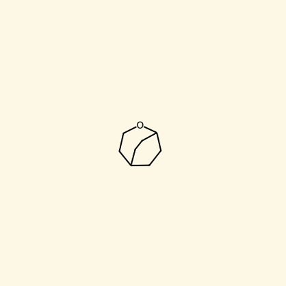 C1CC2CCC(CC2)O1